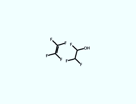 FC(F)=C(F)F.OC(F)C(F)F